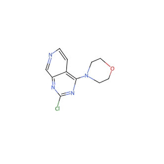 Clc1nc(N2CCOCC2)c2ccncc2n1